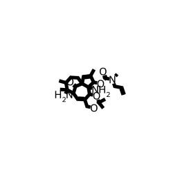 C=CCN(C)C(=O)OC1C(C)=CC23CCC(C)C(C)(C)C(N)(C=C4COC(C)(C)OC4C12N)C3=O